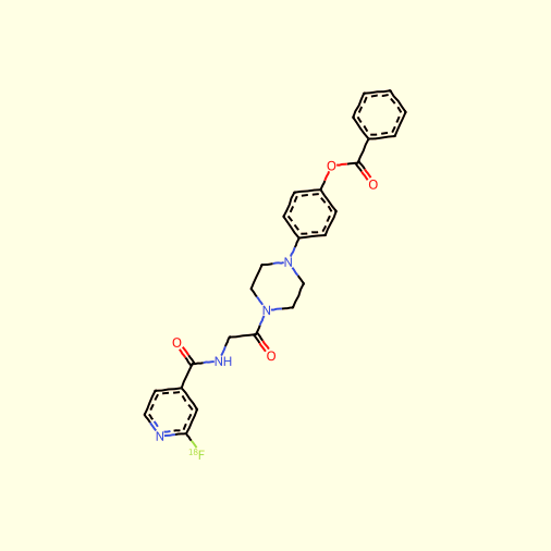 O=C(NCC(=O)N1CCN(c2ccc(OC(=O)c3ccccc3)cc2)CC1)c1ccnc([18F])c1